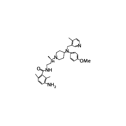 COc1ccc(N(Cc2cnccc2C)C2CCN([C@H](C)CCNC(=O)c3c(C)ccc(N)c3C)CC2)cc1